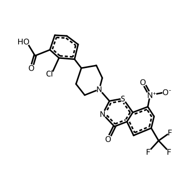 O=C(O)c1cccc(C2CCN(c3nc(=O)c4cc(C(F)(F)F)cc([N+](=O)[O-])c4s3)CC2)c1Cl